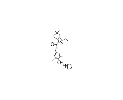 CCc1sc(C(=O)CCc2cc(C)c(OCCN3CCCC3)c(C)c2)c2c1CC(C)(C)CC2